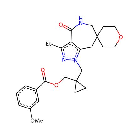 CCc1nn(CC2(COC(=O)c3cccc(OC)c3)CC2)c2c1C(=O)NCC1(CCOCC1)C2